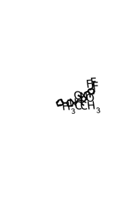 CC(C)C1(CCN2CCC(c3ccccc3)CC2)CC2Oc3ccc(C(F)(F)F)cc3CN2C1=O